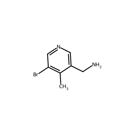 Cc1c(Br)cncc1CN